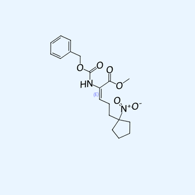 COC(=O)/C(=C\CCC1([N+](=O)[O-])CCCC1)NC(=O)OCc1ccccc1